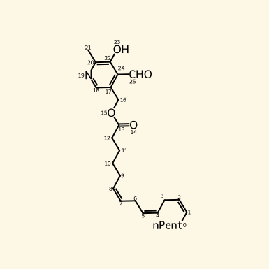 CCCCC/C=C\C/C=C\C/C=C\CCCCC(=O)OCc1cnc(C)c(O)c1C=O